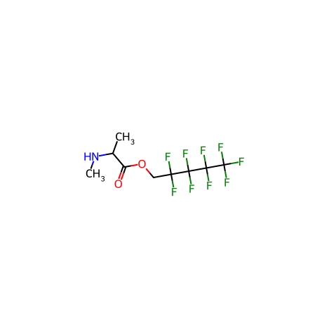 CNC(C)C(=O)OCC(F)(F)C(F)(F)C(F)(F)C(F)(F)F